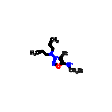 C=CCN(CC=C)[n+]1noc([N-]C(=O)OCC)c1CC